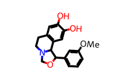 COc1cccc(C2OCN3CCc4cc(O)c(O)cc4C23)c1